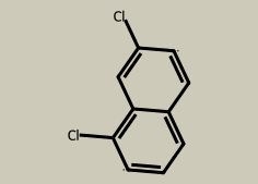 Clc1[c]cc2cc[c]c(Cl)c2c1